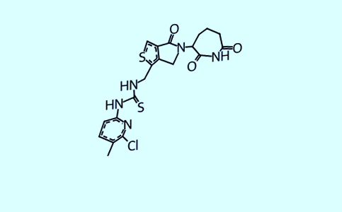 Cc1ccc(NC(=S)NCc2scc3c2CN(C2CCCC(=O)NC2=O)C3=O)nc1Cl